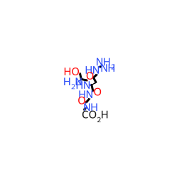 N=C(N)NCCC[C@H](NC(=O)[C@@H](N)CO)C(=O)NCC(=O)NCC(=O)O